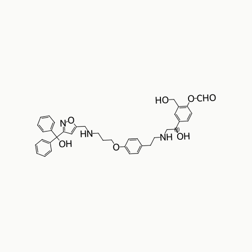 O=COc1ccc([C@@H](O)CNCCc2ccc(OCCCNCc3cc(C(O)(c4ccccc4)c4ccccc4)no3)cc2)cc1CO